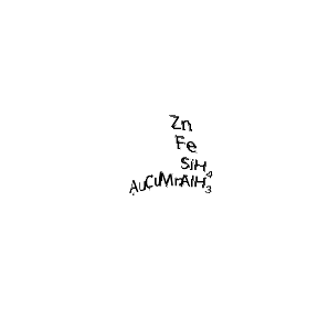 [AlH3].[Au].[Cu].[Fe].[Mn].[SiH4].[Zn]